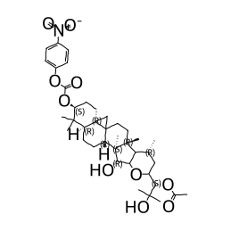 CC(=O)O[C@@H](C1C[C@@H](C)C2C(O1)[C@H](O)[C@@]1(C)[C@@H]3CC[C@H]4C(C)(C)[C@@H](OC(=O)Oc5ccc([N+](=O)[O-])cc5)CC[C@@]45CC35CC[C@]21C)C(C)(C)O